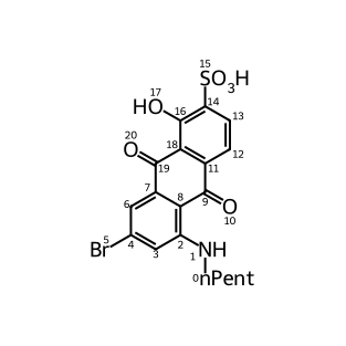 CCCCCNc1cc(Br)cc2c1C(=O)c1ccc(S(=O)(=O)O)c(O)c1C2=O